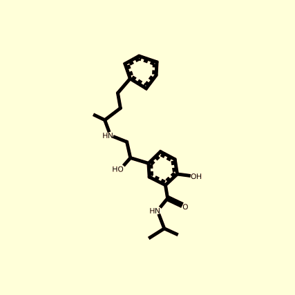 CC(C)NC(=O)c1cc(C(O)CNC(C)CCc2ccccc2)ccc1O